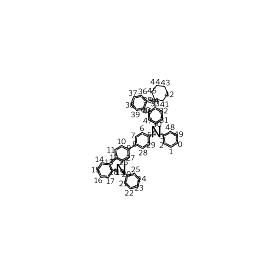 c1ccc(N(c2ccc(-c3ccc4c5ccccc5n(-c5ccccc5)c4c3)cc2)c2ccc(C3(c4ccccc4)CCCCC3)cc2)cc1